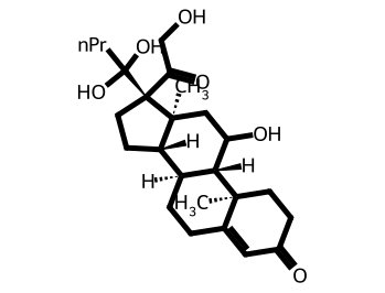 CCCC(O)(O)[C@]1(C(=O)CO)CC[C@H]2[C@@H]3CCC4=CC(=O)CC[C@]4(C)[C@H]3C(O)C[C@@]21C